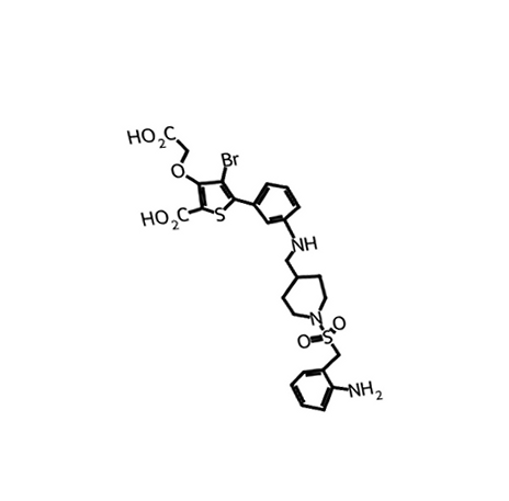 Nc1ccccc1CS(=O)(=O)N1CCC(CNc2cccc(-c3sc(C(=O)O)c(OCC(=O)O)c3Br)c2)CC1